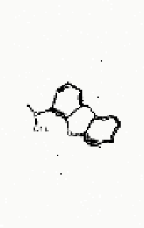 CP(O)c1cccc2c1oc1ccccc12